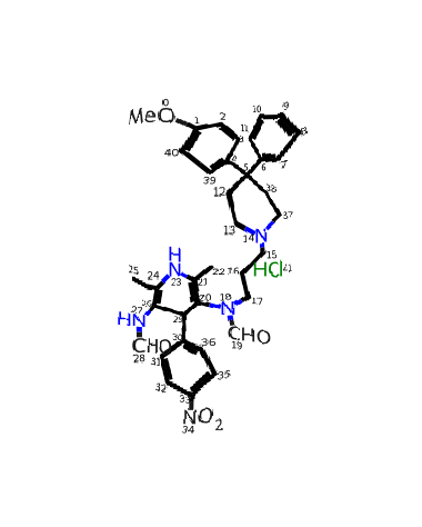 COc1ccc(C2(c3ccccc3)CCN(CCCN(C=O)C3=C(C)NC(C)=C(NC=O)C3c3ccc([N+](=O)[O-])cc3)CC2)cc1.Cl